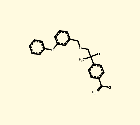 C=C(Cl)c1ccc(C(C)(CC)COCc2cccc(Oc3ccccc3)c2)cc1